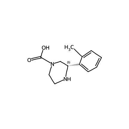 Cc1ccccc1[C@H]1CN(C(=O)O)CCN1